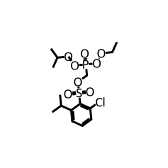 CCOOP(=O)(COS(=O)(=O)c1c(Cl)cccc1C(C)C)OOC(C)C